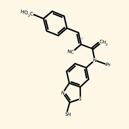 C=C(/C(C#N)=C/c1ccc(C(=O)O)cc1)N(c1ccc2nc(S)sc2c1)C(C)C